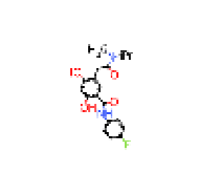 CC(C)N(C)C(=O)Cc1cc(C(=O)Nc2ccc(F)cc2)c(O)cc1O